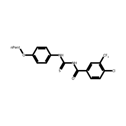 CCCCCOc1ccc(NC(=S)NC(=O)c2ccc(Cl)c(C(F)(F)F)c2)cc1